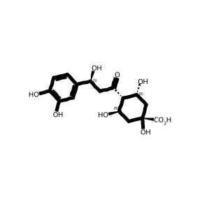 O=C(C[C@H](O)c1ccc(O)c(O)c1)[C@H]1[C@H](O)C[C@](O)(C(=O)O)C[C@H]1O